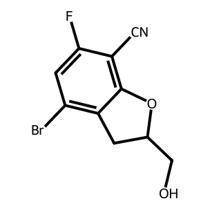 N#Cc1c(F)cc(Br)c2c1OC(CO)C2